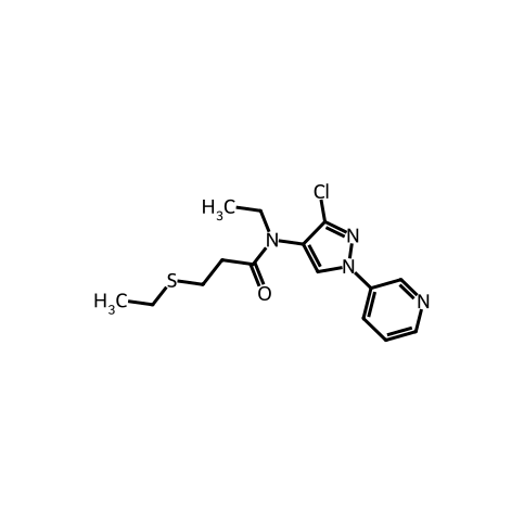 CCSCCC(=O)N(CC)c1cn(-c2cccnc2)nc1Cl